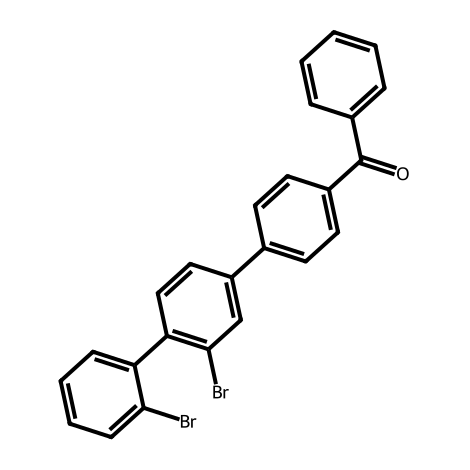 O=C(c1ccccc1)c1ccc(-c2ccc(-c3ccccc3Br)c(Br)c2)cc1